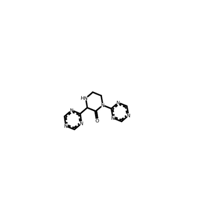 O=C1C(c2ncncn2)NCCN1c1ncncn1